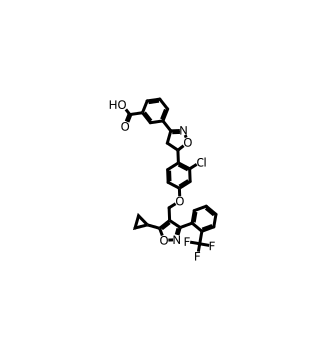 O=C(O)c1cccc(C2=NOC(c3ccc(OCc4c(-c5ccccc5C(F)(F)F)noc4C4CC4)cc3Cl)C2)c1